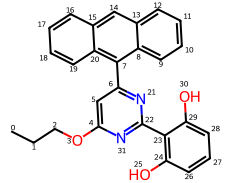 CCCOc1cc(-c2c3ccccc3cc3ccccc23)nc(-c2c(O)cccc2O)n1